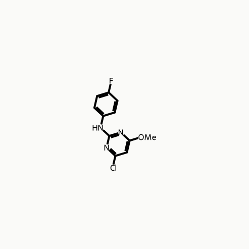 COc1cc(Cl)nc(Nc2ccc(F)cc2)n1